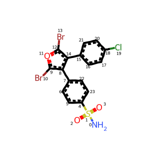 NS(=O)(=O)c1ccc(-c2c(Br)oc(Br)c2-c2ccc(Cl)cc2)cc1